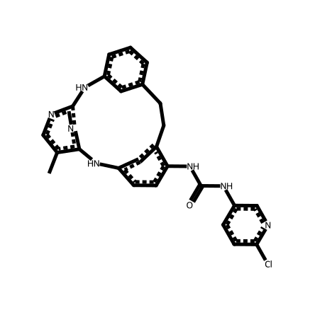 Cc1cnc2nc1Nc1ccc(NC(=O)Nc3ccc(Cl)nc3)c(c1)CCc1cccc(c1)N2